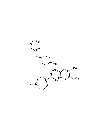 COc1cc2nc(N3CCCN(C(C)C)CC3)nc(NC3CCN(Cc4ccccc4)CC3)c2cc1OC